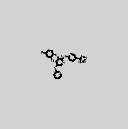 Fc1ccc(Oc2cc(Sc3ccccn3)cnc2Nc2ccc(-c3nnn[nH]3)cn2)c(Cl)c1